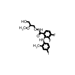 COC(CO)CONC(=O)c1ccc(F)c(F)c1Nc1ccc(I)cc1C